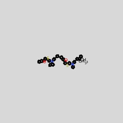 CC1(C)c2ccccc2-c2ccc(-c3ccc(N(c4ccccc4)c4ccc5c(c4)sc4ccc6c7cc8cc(-c9cccc(-c%10ccc(N(c%11ccc%12c(c%11)sc%11ccc%13c%14cc%15ccccc%15cc%14oc%13c%11%12)c%11cccc%12ccccc%11%12)cc%10)c9)ccc8cc7oc6c45)cc3)cc21